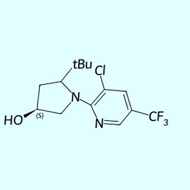 CC(C)(C)C1C[C@H](O)CN1c1ncc(C(F)(F)F)cc1Cl